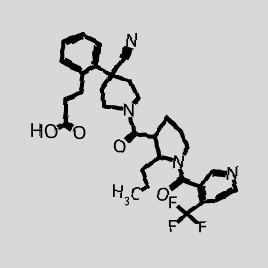 CCCC1C(C(=O)N2CCC(C#N)(c3ccccc3CCC(=O)O)CC2)CCCN1C(=O)c1cnccc1C(F)(F)F